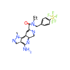 CCN(Cc1ccc(S(F)(F)(F)(F)F)cc1)C(=O)c1cc2c(cn1)nc(N)c1cnn(C)c12